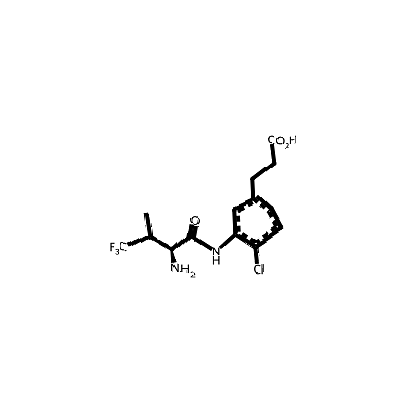 CC([C@H](N)C(=O)Nc1cc(CCC(=O)O)ccc1Cl)C(F)(F)F